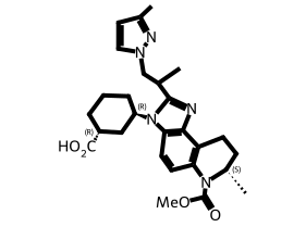 COC(=O)N1c2ccc3c(nc(C(C)Cn4ccc(C)n4)n3[C@@H]3CCC[C@@H](C(=O)O)C3)c2CC[C@@H]1C